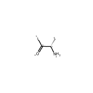 C[C@H](N)C(=O)I